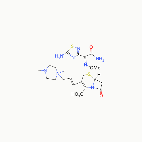 CN1CC[N+](C)(C/C=C/C2=C(C(=O)O)N3C(=O)C[C@@H]3SC2)CC1.CO/N=C(\C(N)=O)c1nsc(N)n1